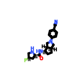 N#Cc1ccc(N2C[C@H]3CC[C@H](NC(=O)[C@@H]4C[C@@H](F)CN4)[C@H]3C2)cc1